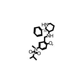 COc1ccc(N(C)S(=O)(=O)C(C)C)cc1CNC1CCCN[C@H]1c1ccccc1